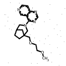 COCCOCC12CCC(CN(c3ncnc4ccncc34)C1)C2